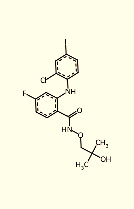 CC(C)(O)CONC(=O)c1ccc(F)cc1Nc1ccc(I)cc1Cl